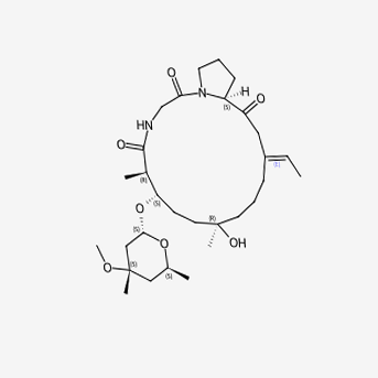 C/C=C1\CCC[C@@](C)(O)CC[C@H](O[C@H]2C[C@@](C)(OC)C[C@H](C)O2)[C@@H](C)C(=O)NCC(=O)N2CCC[C@H]2C(=O)C1